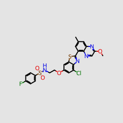 COc1cnc2c(-c3nc4c(Cl)cc(OCCNS(=O)(=O)c5ccc(F)cc5)cc4s3)cc(C)cc2n1